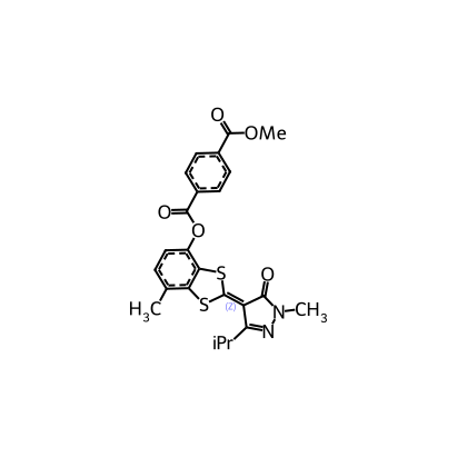 COC(=O)c1ccc(C(=O)Oc2ccc(C)c3c2S/C(=C2\C(=O)N(C)N=C2C(C)C)S3)cc1